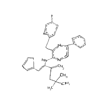 C=C(CC(C)(C)C)/C(=C/C1=CC=CC1)Nc1ncc(-c2ccccc2)nc1Cc1ccc(F)cc1